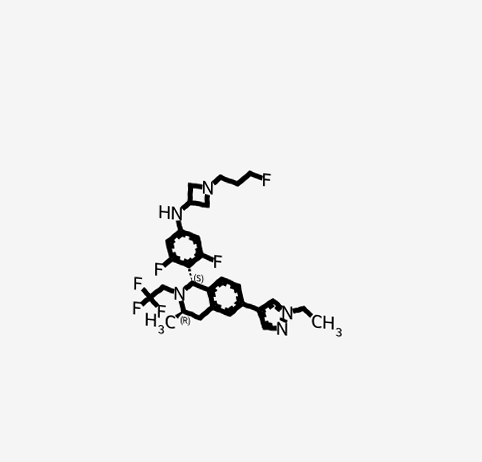 CCn1cc(-c2ccc3c(c2)C[C@@H](C)N(CC(F)(F)F)[C@@H]3c2c(F)cc(NC3CN(CCCF)C3)cc2F)cn1